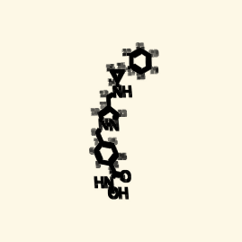 O=C(NO)c1ccc(Cn2cc(CN[C@H]3C[C@@H]3c3ccccc3)cn2)cc1